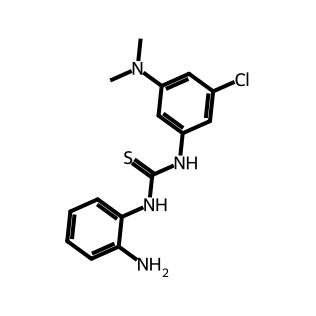 CN(C)c1cc(Cl)cc(NC(=S)Nc2ccccc2N)c1